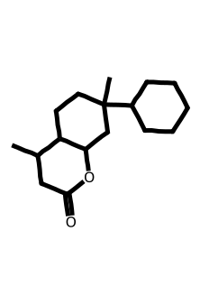 CC1CC(=O)OC2CC(C)(C3CCCCC3)CCC12